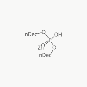 CCCCCCCCCCOP(=O)(O)OCCCCCCCCCC.[Zn]